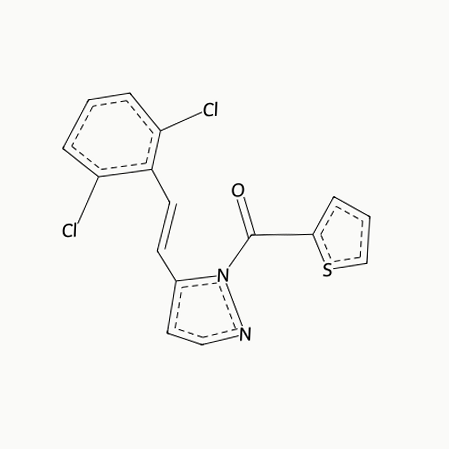 O=C(c1cccs1)n1nccc1/C=C/c1c(Cl)cccc1Cl